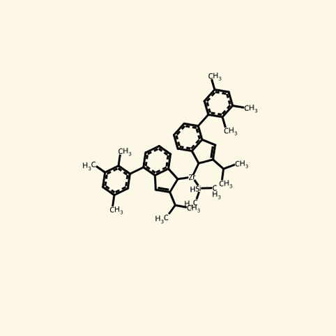 Cc1cc(C)c(C)c(-c2cccc3c2C=C(C(C)C)[CH]3[Zr]([CH]2C(C(C)C)=Cc3c(-c4cc(C)cc(C)c4C)cccc32)[SiH](C)C)c1